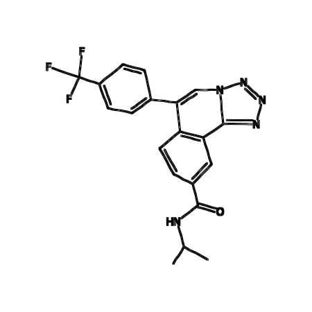 CC(C)NC(=O)c1ccc2c(-c3ccc(C(F)(F)F)cc3)cn3nnnc3c2c1